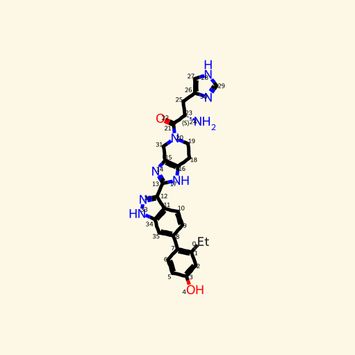 CCc1cc(O)ccc1-c1ccc2c(-c3nc4c([nH]3)CCN(C(=O)[C@@H](N)Cc3c[nH]cn3)C4)n[nH]c2c1